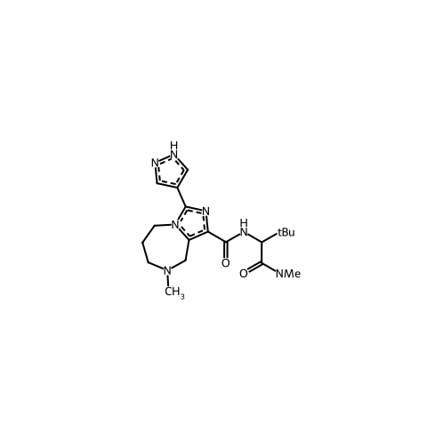 CNC(=O)C(NC(=O)c1nc(-c2cn[nH]c2)n2c1CN(C)CCC2)C(C)(C)C